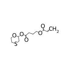 C=CC(=O)OCCCC(=O)OC1CSCCO1